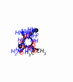 CCCC[C@H](NC(C)=O)C(=O)N[C@H]1CCC(=O)NCCC(C(=O)N[C@@H](Cc2c[nH]c3ccccc23)C(N)=O)NC(=O)[C@H](CCCNC(=N)N)NC(=O)[C@@H](Cc2ccccc2)NC(=O)[C@H](CCCNC(N)=O)NC1=O